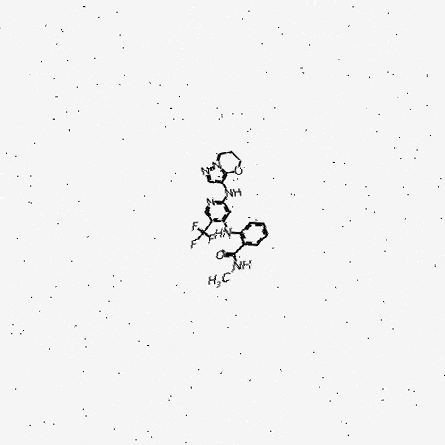 CNC(=O)c1ccccc1Nc1cc(Nc2cnn3c2OCCC3)ncc1C(F)(F)F